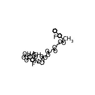 COc1c(N2CC3CCCN(C(=O)OCOC(=O)CCC(=O)OCCCOC(=O)C(C)c4ccc(-c5ccccc5)c(F)c4)C3C2)c(F)cc2c(=O)c(C(=O)O)cn(C3CC3)c12